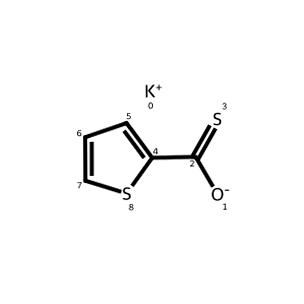 [K+].[O-]C(=S)c1cccs1